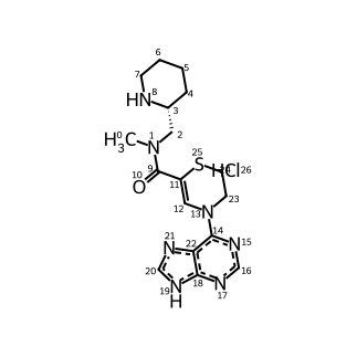 CN(C[C@H]1CCCCN1)C(=O)C1=CN(c2ncnc3[nH]cnc23)CCS1.Cl